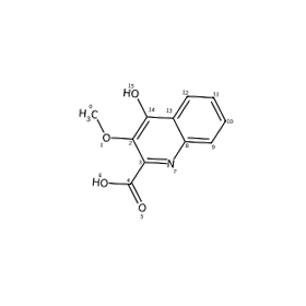 COc1c(C(=O)O)nc2ccccc2c1O